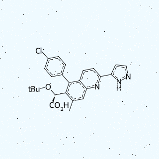 Cc1cc2nc(-c3ccn[nH]3)ccc2c(-c2ccc(Cl)cc2)c1[C@H](OC(C)(C)C)C(=O)O